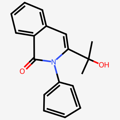 CC(C)(O)c1cc2ccccc2c(=O)n1-c1ccccc1